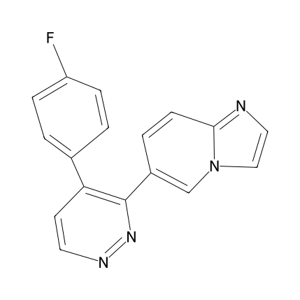 Fc1ccc(-c2ccnnc2-c2ccc3nccn3c2)cc1